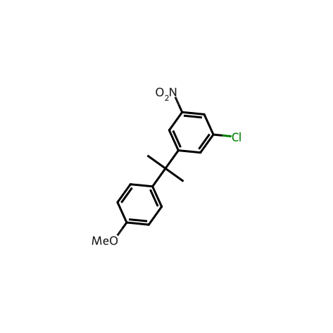 COc1ccc(C(C)(C)c2cc(Cl)cc([N+](=O)[O-])c2)cc1